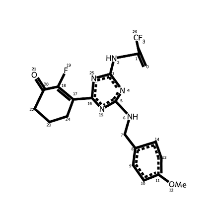 C=C(Nc1nc(NCc2ccc(OC)cc2)nc(C2=C(F)C(=O)CCC2)n1)C(F)(F)F